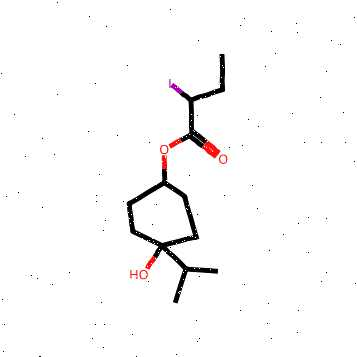 CCC(I)C(=O)OC1CCC(O)(C(C)C)CC1